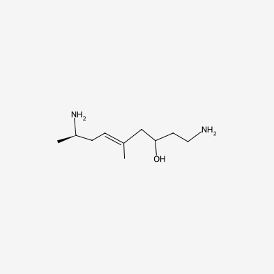 C/C(=C\C[C@@H](C)N)CC(O)CCN